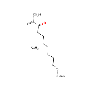 C=C(C(=O)O)C(=O)CCCCCCCCCCCCCCCCC.[CaH2]